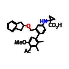 COc1cc(-c2ccc(NC3(C(=O)O)CC3)cc2COC2Cc3ccccc3C2)c(C)c(C)c1C(C)=O